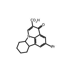 CC(C)c1cc2c3c(c1)c(=O)c(C(=O)O)cn3C1CCCCC21